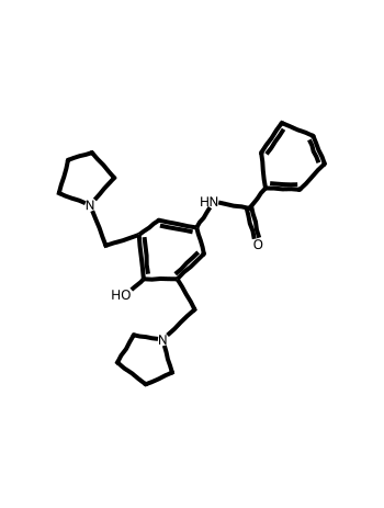 O=C(Nc1cc(CN2CCCC2)c(O)c(CN2CCCC2)c1)c1ccccc1